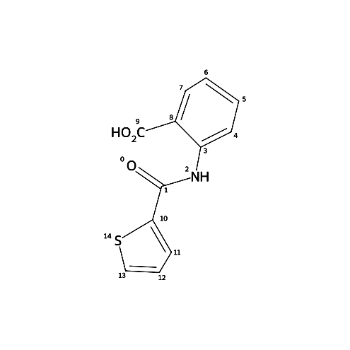 O=C(Nc1ccccc1C(=O)O)c1cccs1